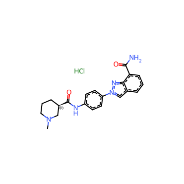 CN1CCC[C@@H](C(=O)Nc2ccc(-n3cc4cccc(C(N)=O)c4n3)cc2)C1.Cl